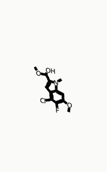 COc1cc2c(cc(C(O)OC)n2C)c(Cl)c1F